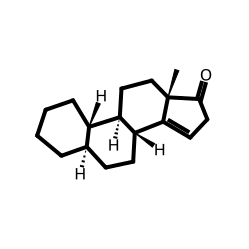 C[C@]12CC[C@@H]3[C@H]4CCCC[C@@H]4CC[C@H]3C1=CCC2=O